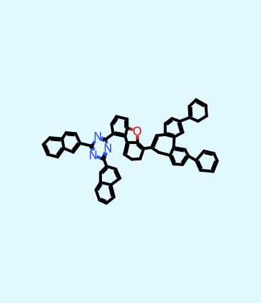 C1=CCCC(c2ccc3c(c2)-c2cc(-c4ccccc4)ccc2CC(C2=c4oc5cccc(-c6nc(-c7ccc8ccccc8c7)nc(-c7ccc8ccccc8c7)n6)c5c4=CCC2)=C3)=C1